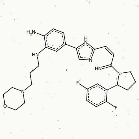 N=C(/C=C\c1ncc(-c2ccc(N)c(NCCCN3CCOCC3)c2)[nH]1)N1CCCC1c1cc(F)ccc1F